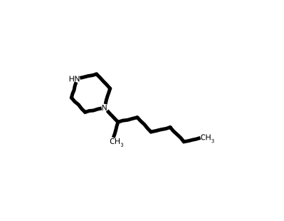 CCCCCC(C)N1CCNCC1